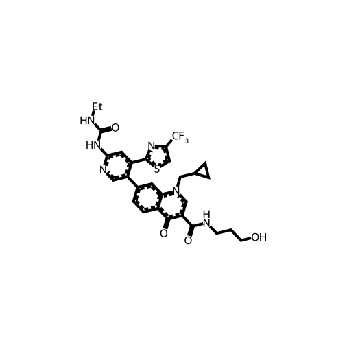 CCNC(=O)Nc1cc(-c2nc(C(F)(F)F)cs2)c(-c2ccc3c(=O)c(C(=O)NCCCO)cn(CC4CC4)c3c2)cn1